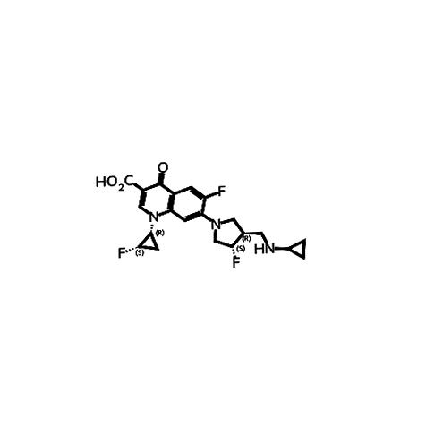 O=C(O)c1cn([C@@H]2C[C@@H]2F)c2cc(N3C[C@@H](CNC4CC4)[C@H](F)C3)c(F)cc2c1=O